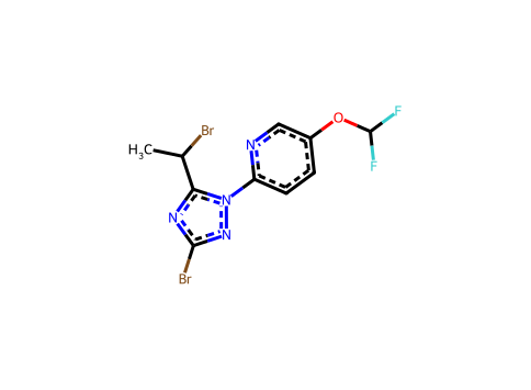 CC(Br)c1nc(Br)nn1-c1ccc(OC(F)F)cn1